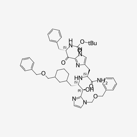 CC(C)(C)OC(=O)N[C@@H](Cc1ccccc1)C(=O)c1nc(C[C@H](N[C@@H](CC2CCCC(COCc3ccccc3)C2)[C@@H](O)c2nccn2COCc2ccccc2)C(N)=O)c[nH]1